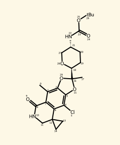 Cc1c2c(c(Cl)c3c1C(=O)NCC31CC1)OC(C)([C@@H]1CC[C@@H](NC(=O)OC(C)(C)C)CO1)O2